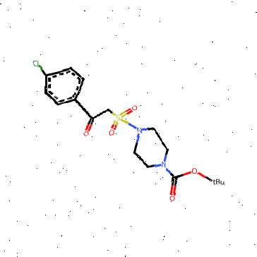 CC(C)(C)OC(=O)N1CCN(S(=O)(=O)CC(=O)c2ccc(Cl)cc2)CC1